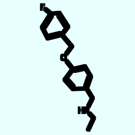 CCNCc1ccc(OCc2ccc(F)cc2)cc1